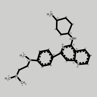 CN(C)CCN(C)c1ccc(-c2cc3ncccc3c(NC3CCC(N)CC3)n2)cc1